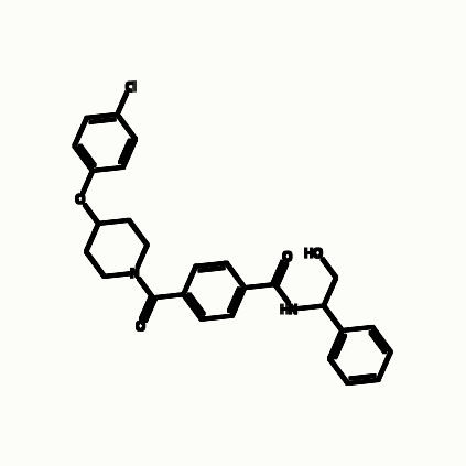 O=C(NC(CO)c1ccccc1)c1ccc(C(=O)N2CCC(Oc3ccc(Cl)cc3)CC2)cc1